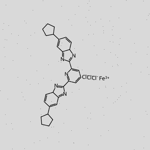 C1=CC2N=C(c3cccc(C4=NC5C=CC(C6CCCC6)=CC5=N4)n3)N=C2C=C1C1CCCC1.[Cl-].[Cl-].[Cl-].[Fe+3]